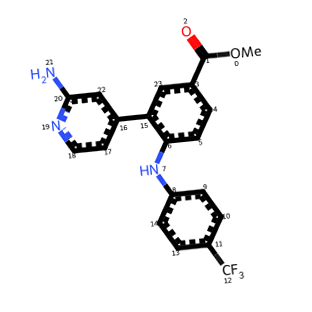 COC(=O)c1ccc(Nc2ccc(C(F)(F)F)cc2)c(-c2ccnc(N)c2)c1